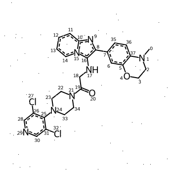 CN1CCOc2cc(-c3nc4ccccn4c3NCC(=O)N3CCN(c4c(Cl)cncc4Cl)CC3)ccc21